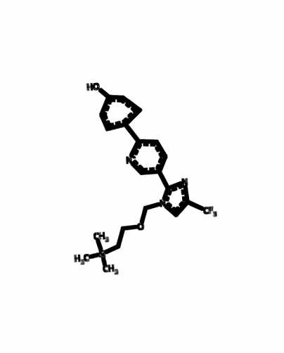 C[Si](C)(C)CCOCn1cc(C(F)(F)F)nc1-c1ccc(-c2ccc(O)cc2)nc1